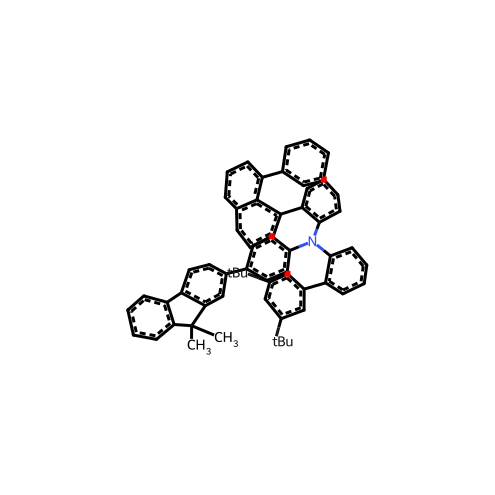 CC(C)(C)c1cc(-c2ccccc2N(c2ccc(-c3ccc4c(c3)C(C)(C)c3ccccc3-4)cc2)c2ccccc2-c2cccc3cccc(-c4ccccc4)c23)cc(C(C)(C)C)c1